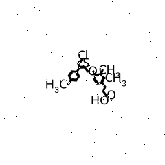 CCc1ccc(-c2cc(Cl)sc2COc2ccc(CCC(=O)O)c(C)c2C)cc1